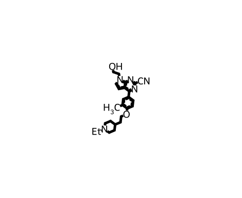 CCN1CCC(CCOc2ccc(-c3nc(C#N)nc4c3ccn4CCO)cc2C)CC1